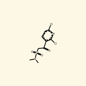 CN(C)S(=O)(=O)CC(=O)c1ccc(Cl)nc1Cl